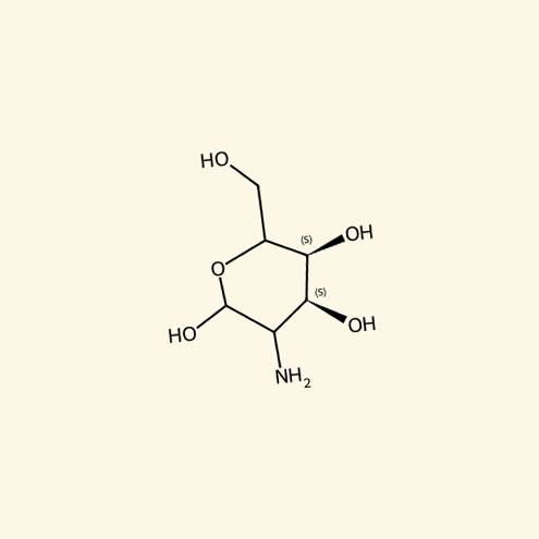 NC1C(O)OC(CO)[C@@H](O)[C@H]1O